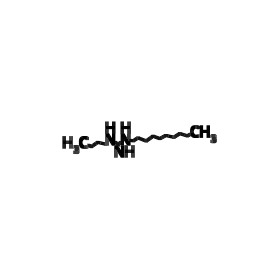 CCCCCCCCCCNC(=N)NCCCC